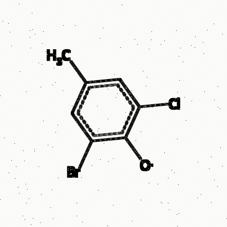 Cc1cc(Cl)c([O])c(Br)c1